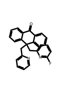 O=C1c2ccccc2C(Cc2ccccn2)(Cc2cccc(F)n2)c2ccccc21